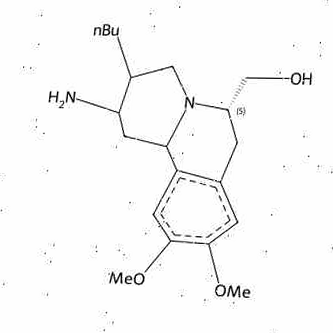 CCCCC1CN2C(CC1N)c1cc(OC)c(OC)cc1C[C@H]2CO